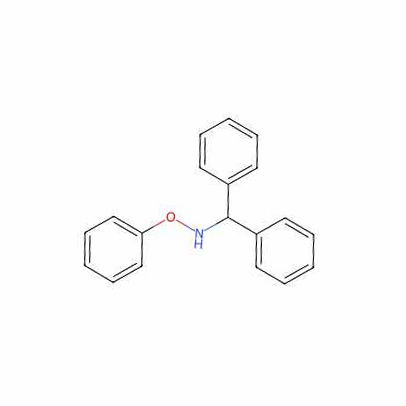 c1ccc(ONC(c2ccccc2)c2ccccc2)cc1